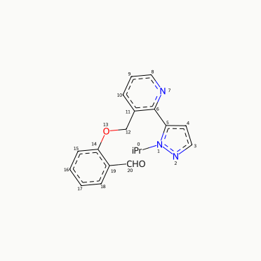 CC(C)n1nccc1-c1ncccc1COc1ccccc1C=O